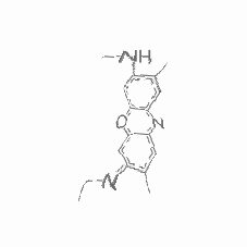 CCN=c1cc2oc3cc(NC)c(C)cc3nc-2cc1C